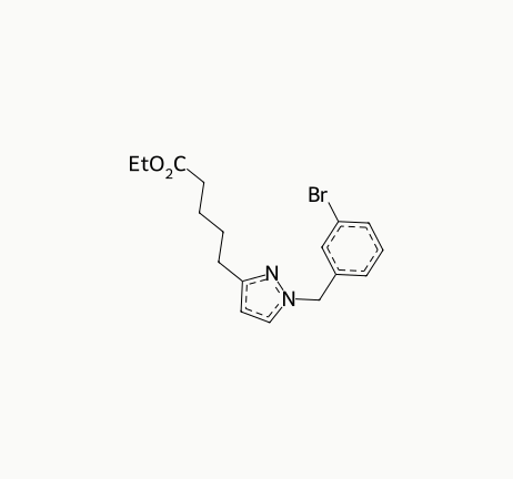 CCOC(=O)CCCCc1ccn(Cc2cccc(Br)c2)n1